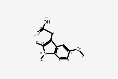 COc1ccc2c(c1)c(CC(=O)O)c(C)n2C